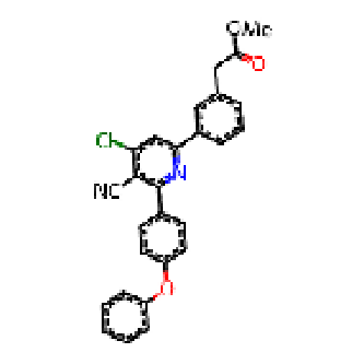 COC(=O)Cc1cccc(-c2cc(Cl)c(C#N)c(-c3ccc(Oc4ccccc4)cc3)n2)c1